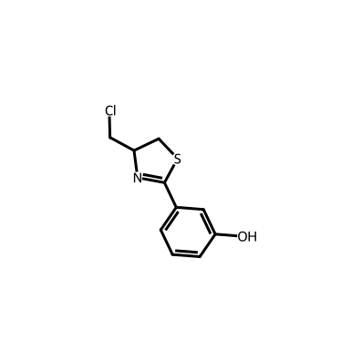 Oc1cccc(C2=NC(CCl)CS2)c1